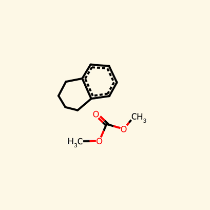 COC(=O)OC.c1ccc2c(c1)CCCC2